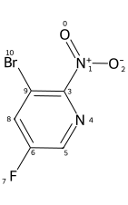 O=[N+]([O-])c1ncc(F)cc1Br